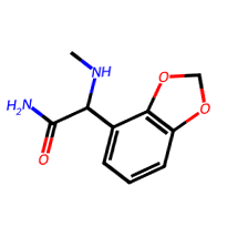 CNC(C(N)=O)c1cccc2c1OCO2